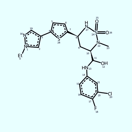 CCn1cc(-c2ccc([C@@H]3C[C@H](C(O)Nc4ccc(F)c(Cl)c4)N(C)S(=O)(=O)N3)s2)cn1